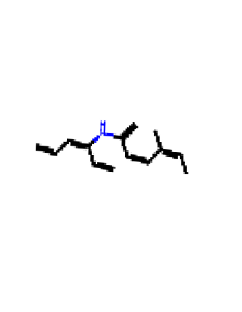 C=C/C=C(\C=C)NC(=C)/C=C\C(C)=C/C